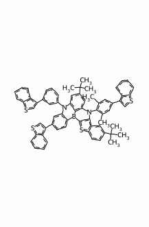 Cc1cc(-c2csc3ccccc23)cc(C)c1N1c2cc(C(C)(C)C)cc3c2B(c2ccc(-c4csc5ccccc45)cc2N3c2cccc(-c3csc4ccccc34)c2)c2sc3ccc(C(C)(C)C)cc3c21